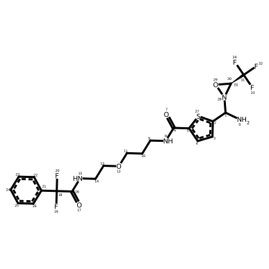 NC(c1ccc(C(=O)NCCCOCCNC(=O)C(F)(F)c2ccccc2)s1)N1O[C@H]1C(F)(F)F